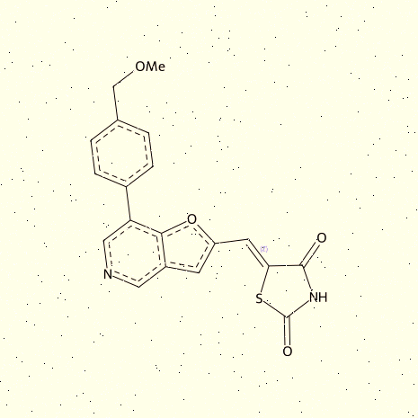 COCc1ccc(-c2cncc3cc(/C=C4\SC(=O)NC4=O)oc23)cc1